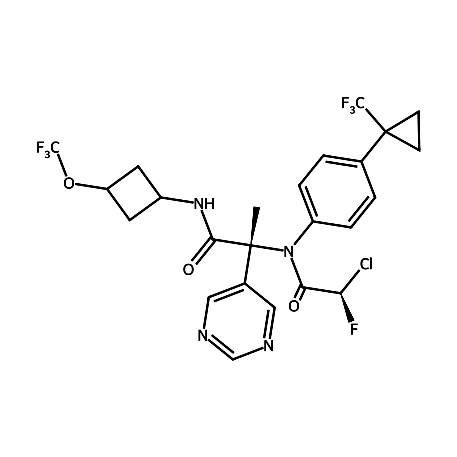 C[C@](C(=O)NC1CC(OC(F)(F)F)C1)(c1cncnc1)N(C(=O)[C@H](F)Cl)c1ccc(C2(C(F)(F)F)CC2)cc1